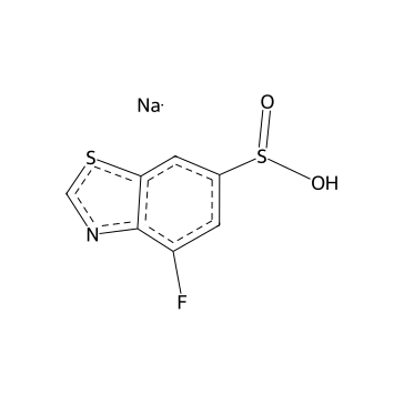 O=S(O)c1cc(F)c2ncsc2c1.[Na]